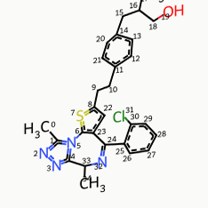 Cc1nnc2n1-c1sc(CCc3ccc(CC(C)CO)cc3)cc1C(c1ccccc1Cl)=NC2C